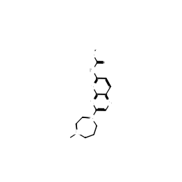 CCNC(=O)Nc1ccc2ncc(N3CCCN(C)CC3)nc2n1